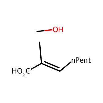 CCCCCC=C(C)C(=O)O.CO